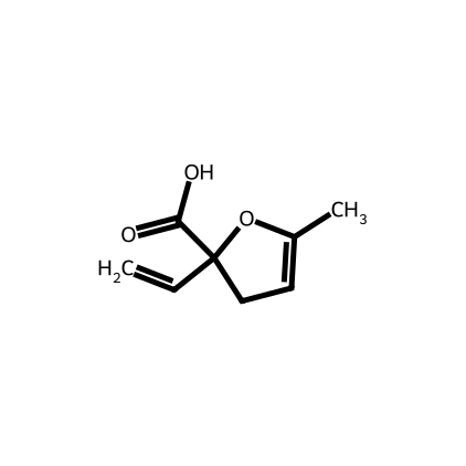 C=CC1(C(=O)O)CC=C(C)O1